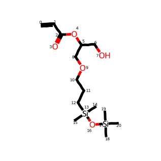 C=CC(=O)OC(CO)COCCC[Si](C)(C)O[Si](C)(C)C